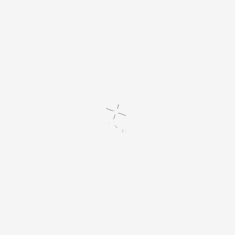 C[Si](C)(S)O[SiH3]